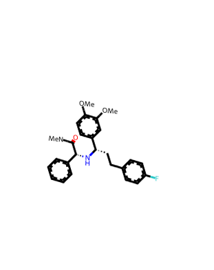 CNC(=O)[C@H](N[C@@H](CCc1ccc(F)cc1)c1ccc(OC)c(OC)c1)c1ccccc1